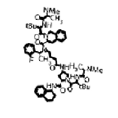 CN[C@@H](C)C(=O)NC(C(=O)N1C[C@@H](NC(=O)CCCN(C(=O)[C@@H]2Cc3ccccc3CN2C(=O)C(NC(=O)[C@H](C)NC)C(C)(C)C)[C@H](C)c2ccccc2F)C[C@H]1C(=O)N[C@@H]1CCCc2ccccc21)C(C)(C)C